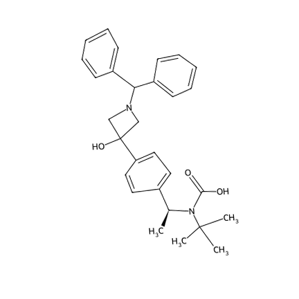 C[C@@H](c1ccc(C2(O)CN(C(c3ccccc3)c3ccccc3)C2)cc1)N(C(=O)O)C(C)(C)C